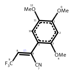 COc1cc(OC)c(/C(C#N)=C/C(F)(F)F)cc1OC